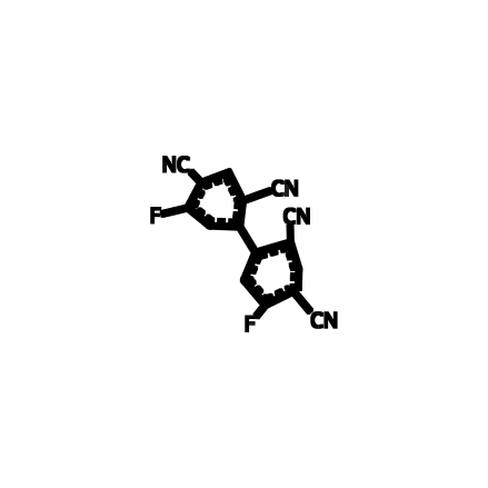 N#Cc1cc(C#N)c(-c2cc(F)c(C#N)cc2C#N)cc1F